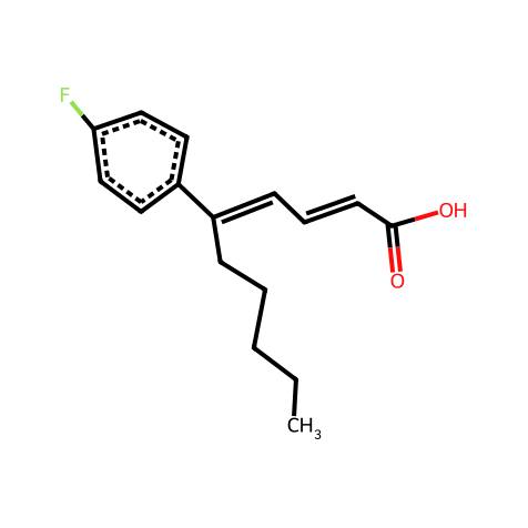 CCCCCC(=CC=CC(=O)O)c1ccc(F)cc1